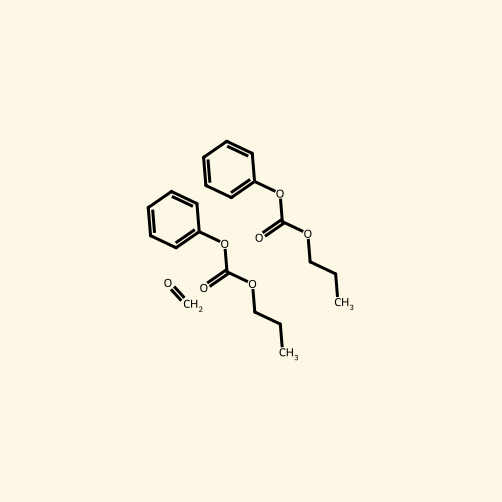 C=O.CCCOC(=O)Oc1ccccc1.CCCOC(=O)Oc1ccccc1